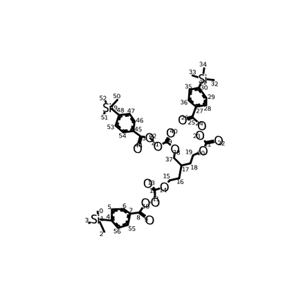 C[Si](C)(C)c1ccc(C(=O)OOC(=O)OCCC(CCOC(=O)OOC(=O)c2ccc([Si](C)(C)C)cc2)COC(=O)OOC(=O)c2ccc([Si](C)(C)C)cc2)cc1